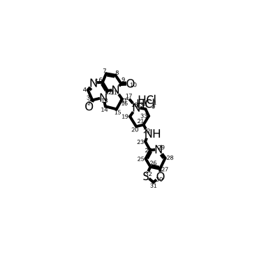 Cl.Cl.O=c1cnc2ccc(=O)n3c2n1CC[C@H]3CN1CCC(NCc2cc3c(cn2)OCS3)CC1